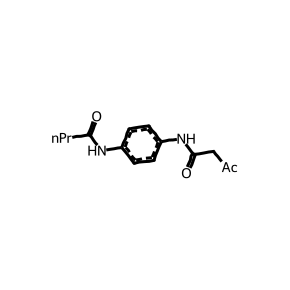 CCCC(=O)Nc1ccc(NC(=O)CC(C)=O)cc1